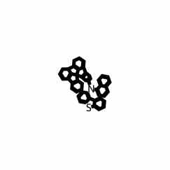 C1=CC2=C(CC1)C13C4=C(CCC=C4c4ccc(N(c5cccc6ccccc56)c5cccc6sc7ccccc7c56)cc41)C1CC=CC2=C13